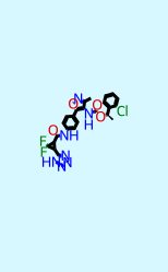 Cc1noc(-c2ccc(NC(=O)C3C(c4nnn[nH]4)C3(F)F)cc2)c1NC(=O)O[C@H](C)c1ccccc1Cl